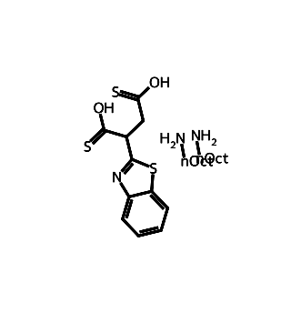 CCCCCCCCN.CCCCCCCCN.OC(=S)CC(C(O)=S)c1nc2ccccc2s1